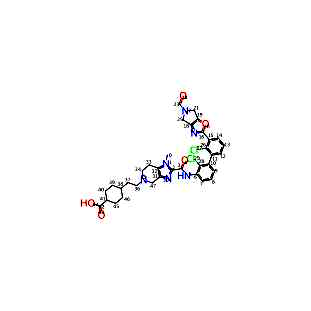 Cn1c(C(=O)Nc2cccc(-c3cccc(-c4nc5c(o4)CN(C=O)C5)c3Cl)c2Cl)nc2c1CCN(CCC1CCC(C(=O)O)CC1)C2